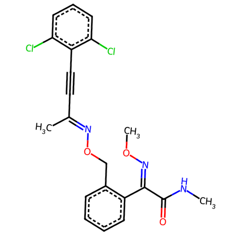 CNC(=O)/C(=N/OC)c1ccccc1CO/N=C(\C)C#Cc1c(Cl)cccc1Cl